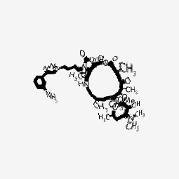 CC[C@H]1OC(=O)[C@H](C)C(=O)[C@H](C)[C@@H](O[C@@H]2O[C@H](C)CC(N(C)C)C2O)[C@](C)(OC)C[C@@H](C)CCN[C@H](C)[C@H]2N(CCCCn3cc(-c4cccc(N)c4)nn3)C(=O)O[C@]12C